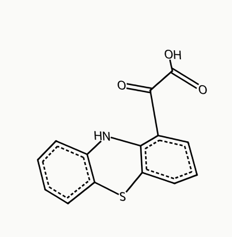 O=C(O)C(=O)c1cccc2c1Nc1ccccc1S2